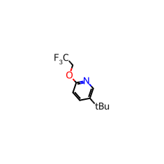 CC(C)(C)c1ccc(OCC(F)(F)F)nc1